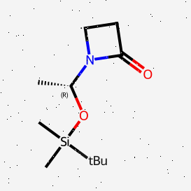 C[C@@H](O[Si](C)(C)C(C)(C)C)N1[CH]CC1=O